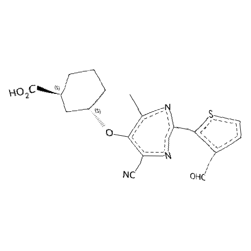 Cc1nc(-c2sccc2C=O)nc(C#N)c1O[C@H]1CCC[C@H](C(=O)O)C1